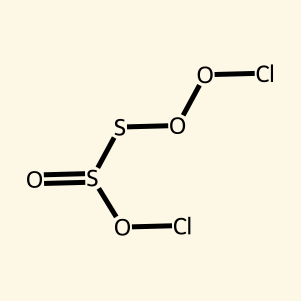 O=S(OCl)SOOCl